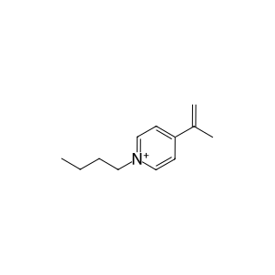 C=C(C)c1cc[n+](CCCC)cc1